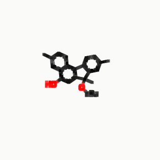 CCCCOC1(C)c2cc(C)ccc2-c2c1cc(O)c1cc(C)ccc21